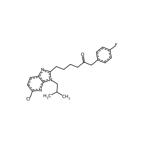 CC(C)Cn1c(CCCCC(=O)Cc2ccc(F)cc2)nc2ccc(Cl)nc21